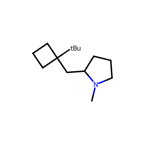 CN1CCCC1CC1(C(C)(C)C)CCC1